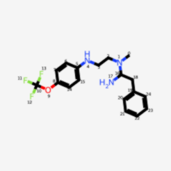 CN(CCNc1ccc(OC(F)(F)F)cc1)C(N)Cc1ccccc1